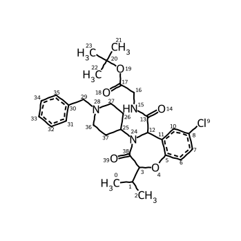 CC(C)C1Oc2ccc(Cl)cc2C(C(=O)NCC(=O)OC(C)(C)C)N(C2CCN(Cc3ccccc3)CC2)C1=O